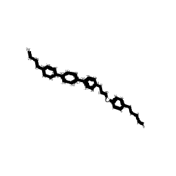 CCCCCc1ccc(OCCCc2ccc(C3CCC(C4C=CC(CCCC)CC4)CC3)cc2)cc1